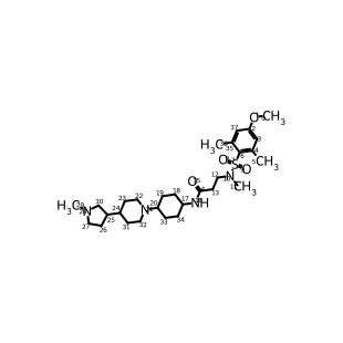 COc1cc(C)c(S(=O)(=O)N(C)CCC(=O)NC2CCC(N3CCC(C4CCN(C)C4)CC3)CC2)c(C)c1